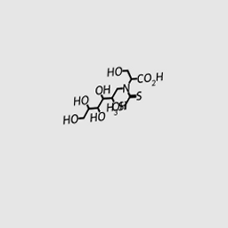 O=C(O)C(CO)N(CC(O)C(O)C(O)C(O)CO)C([SiH3])=S